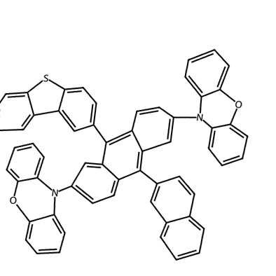 c1ccc2c(c1)Oc1ccccc1N2c1ccc2c(-c3ccc4sc5ccccc5c4c3)c3cc(N4c5ccccc5Oc5ccccc54)ccc3c(-c3ccc4ccccc4c3)c2c1